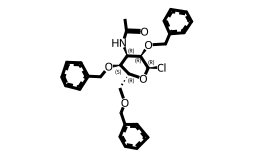 CC(=O)N[C@H]1[C@@H](OCc2ccccc2)[C@@H](Cl)O[C@H](COCc2ccccc2)[C@H]1OCc1ccccc1